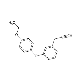 C#C[CH]c1cccc(Oc2ccc(OCC)cc2)c1